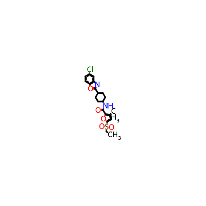 CCS(=O)(=O)c1cc(C)c(C(=O)NC2CCC(c3nc4cc(Cl)ccc4o3)CC2)o1